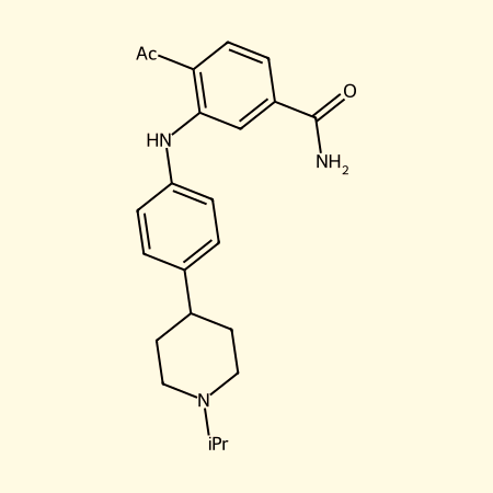 CC(=O)c1ccc(C(N)=O)cc1Nc1ccc(C2CCN(C(C)C)CC2)cc1